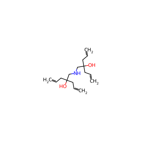 C=CCC(O)(CC=C)CNCC(O)(CC=C)CC=C